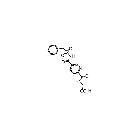 O=C(O)CNC(=O)c1ccc(C(=O)NS(=O)(=O)Cc2ccccc2)cn1